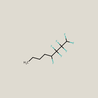 CCCCC(F)C(F)(F)C(F)(F)[C](F)F